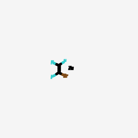 FC(F)=C(F)Br.[Zn]